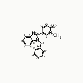 Cn1cc(-c2nc3ccccc3n2Cc2ccccc2)ccc1=O